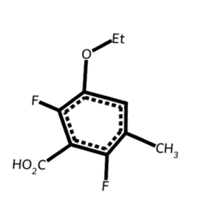 CCOc1cc(C)c(F)c(C(=O)O)c1F